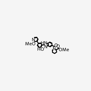 COC(=O)C1CCCCN1C(=O)c1ccc2[nH]c(-c3cc(-c4cccnc4OC)ccc3O)nc2c1